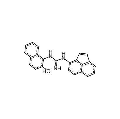 N=C(Nc1ccc2cccc3c2c1C=C3)Nc1c(O)ccc2ccccc12